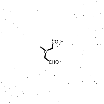 CN(CC=O)CC(=O)O